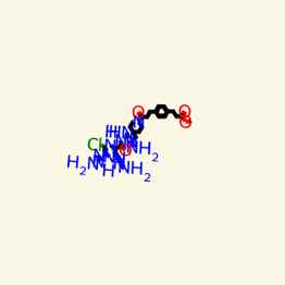 COC(=O)CCc1ccc(CCC(=O)N2CCC3(CC2)CN(N)/C(=N\C(=O)C2NC(Cl)=C(N=NN)NC2N=NN)N3)cc1